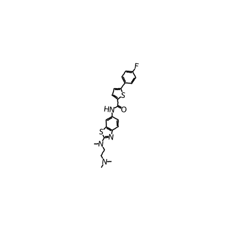 CN(C)CCN(C)c1nc2ccc(NC(=O)c3ccc(-c4ccc(F)cc4)s3)cc2s1